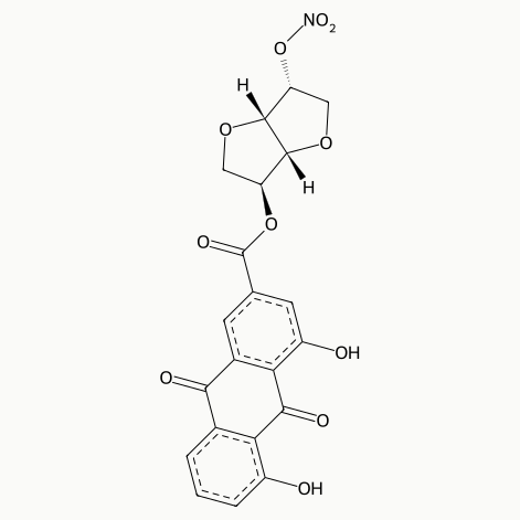 O=C(O[C@H]1CO[C@H]2[C@@H]1OC[C@H]2O[N+](=O)[O-])c1cc(O)c2c(c1)C(=O)c1cccc(O)c1C2=O